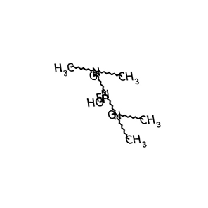 CCCCCCCCCCN(CCCCCCCCCC)C(=O)CCCCCCCN(CCCCCCCC(=O)N(CCCCCCCCCC)CCCCCCCCCC)CC(F)(F)CO